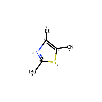 CCc1nc(C(C)(C)C)sc1C#N